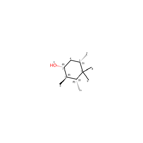 C[C@H]1[C@H](O)C[C@H](C)C(C)(C)[C@@H]1C